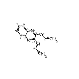 CCOc1nc2ccccc2nc1OCC